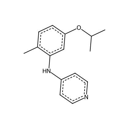 Cc1ccc(OC(C)C)cc1Nc1ccncc1